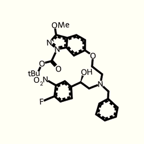 COc1nn(C(=O)OC(C)(C)C)c2cc(OCCN(Cc3ccccc3)C[C@H](O)c3ccc(F)c([N+](=O)[O-])c3)ccc12